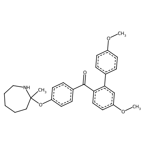 COc1ccc(-c2cc(OC)ccc2C(=O)c2ccc(OC3(C)CCCCCN3)cc2)cc1